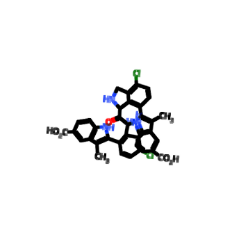 Cc1c(-c2ccc(Cl)c3c2C(C(=O)C2NCc4c(Cl)ccc(-c5[nH]c6ccc(C(=O)O)cc6c5C)c42)NC3)[nH]c2ccc(C(=O)O)cc12